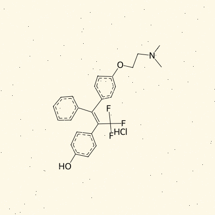 CN(C)CCOc1ccc(C(=C(c2ccc(O)cc2)C(F)(F)F)c2ccccc2)cc1.Cl